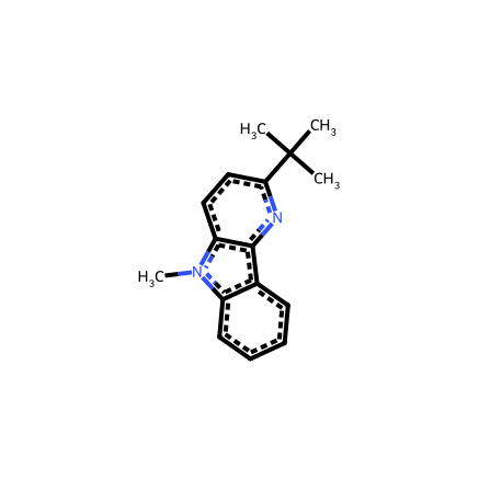 Cn1c2ccccc2c2nc(C(C)(C)C)ccc21